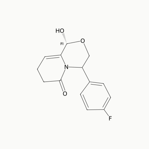 O=C1CCC=C2[C@H](O)OCC(c3ccc(F)cc3)N12